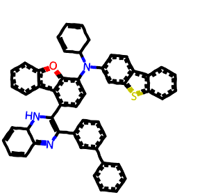 C1=CCC(N(c2ccc3c(c2)sc2ccccc23)c2ccc(C3=C(c4cccc(-c5ccccc5)c4)N=C4C=CC=CC4N3)c3c2oc2ccccc23)C=C1